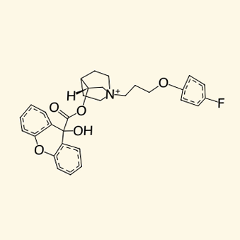 O=C(O[C@H]1C[N+]2(CCCOc3ccc(F)cc3)CCC1CC2)C1(O)c2ccccc2Oc2ccccc21